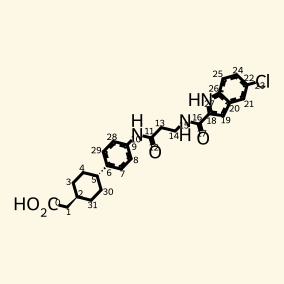 O=C(O)C[C@H]1CC[C@H](c2ccc(NC(=O)CCNC(=O)c3cc4cc(Cl)ccc4[nH]3)cc2)CC1